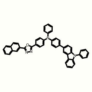 c1ccc(N(c2ccc(-c3ccc4c(c3)c3ccccc3n4-c3ccccc3)cc2)c2ccc(-c3nnc(-c4ccc5ccccc5c4)o3)cc2)cc1